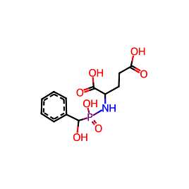 O=C(O)CCC(NP(=O)(O)C(O)c1ccccc1)C(=O)O